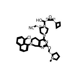 CN1CCC[C@H]1COc1nc2c(c(N3CCN(C(O)[C@@H]4O[C@@H]4C4CCC4)[C@@H](CC#N)C3)n1)CCN(c1cccc3cccc(Cl)c13)C2